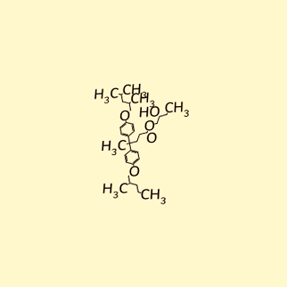 CCCC(C)COc1ccc(C(C)(CCC(=O)OCC(O)CC)c2ccc(OCC(C)CC(C)C)cc2)cc1